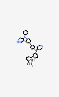 CC1=CC=CC(c2cccc(-n3c4ccncc4c4cc(-c5ccc6c(c5)c5c(n6-c6ccccc6)=CCNC=5)ccc43)c2)N1